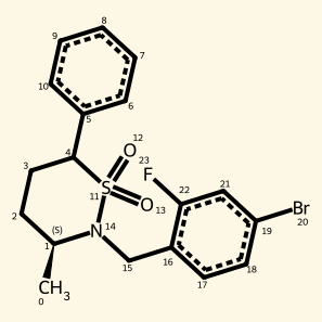 C[C@H]1CCC(c2ccccc2)S(=O)(=O)N1Cc1ccc(Br)cc1F